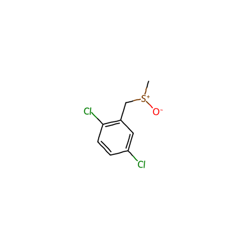 C[S+]([O-])Cc1cc(Cl)ccc1Cl